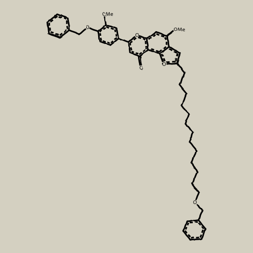 COc1cc(-c2cc(=O)c3c(cc(OC)c4cc(CCCCCCCCCCCCCOCc5ccccc5)oc43)o2)ccc1OCc1ccccc1